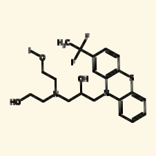 CC(F)(F)c1ccc2c(c1)N(CC(O)CN(CCO)CCOI)c1ccccc1S2